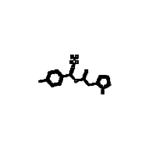 Cc1ccc(C(=O)OC(=O)Cc2ccc[nH]2)cc1.O.O